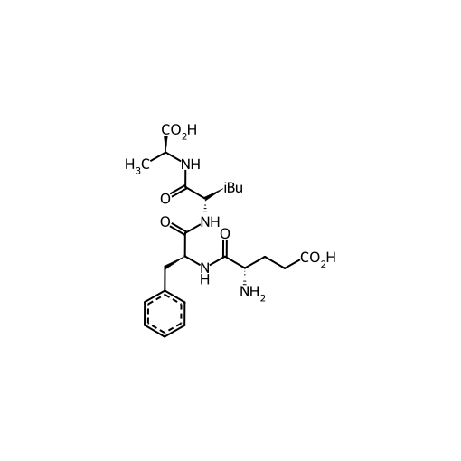 CC[C@H](C)[C@H](NC(=O)[C@H](Cc1ccccc1)NC(=O)[C@@H](N)CCC(=O)O)C(=O)N[C@@H](C)C(=O)O